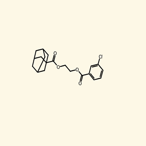 O=C(OCCOC(=O)C12CC3CC(CC(C3)C1)C2)c1cccc(Cl)c1